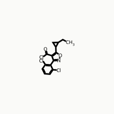 CCC1CC1c1onc(-c2c(Cl)cccc2Cl)c1C(=O)Cl